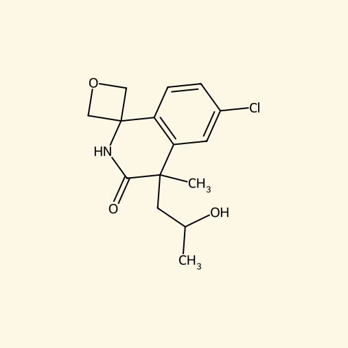 CC(O)CC1(C)C(=O)NC2(COC2)c2ccc(Cl)cc21